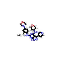 COc1cc(N2CCOCC2)ccc1Nc1nc(NC2CCOCC2)c2c(-c3ccncc3)n[nH]c2n1